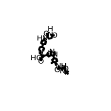 Cc1cc(-c2ncnn3cc(C4CC4CN4CCC(c5ccc(NC6CCC(=O)NC6=O)cc5)CC4)cc23)ccc1CNC(=O)c1noc(C(C)(C)C)n1.O=CO